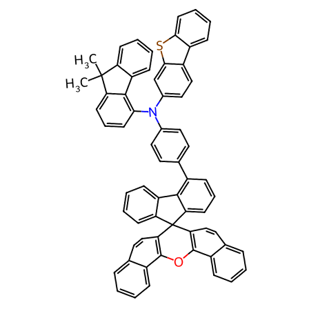 CC1(C)c2ccccc2-c2c(N(c3ccc(-c4cccc5c4-c4ccccc4C54c5ccc6ccccc6c5Oc5c4ccc4ccccc54)cc3)c3ccc4c(c3)sc3ccccc34)cccc21